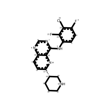 Fc1ccc(Nc2ncnc3ccc([C@H]4CCCNC4)nc23)c(F)c1Cl